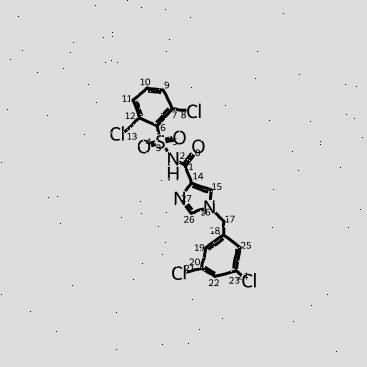 O=C(NS(=O)(=O)c1c(Cl)cccc1Cl)c1cn(Cc2cc(Cl)cc(Cl)c2)cn1